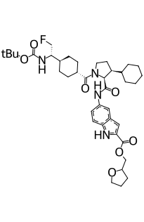 CC(C)(C)OC(=O)N[C@H](CF)[C@H]1CC[C@H](C(=O)N2CC[C@@H](C3CCCCC3)[C@H]2C(=O)Nc2ccc3[nH]c(C(=O)OCC4CCCO4)cc3c2)CC1